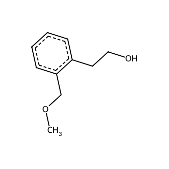 COCc1ccccc1CCO